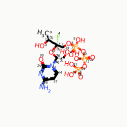 C[C@H](O)[C@@](F)(COP(=O)(O)OP(=O)(O)OP(=O)(O)O)O[C@H](CO)n1ccc(N)nc1=O